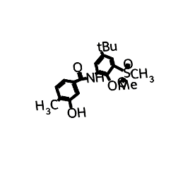 COc1c(NC(=O)c2ccc(C)c(O)c2)cc(C(C)(C)C)cc1S(C)(=O)=O